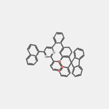 C1=C(c2ccccc2-c2cc(-c3cccc4ccccc34)nc(-c3ccccc3)n2)CCC2=C1Oc1ccccc1C21c2ccccc2-c2ccccc21